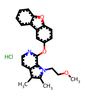 COCCn1c(C)c(C)c2ccnc(Oc3ccc4oc5ccccc5c4c3)c21.Cl